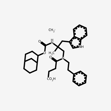 CC(Cc1c[nH]c2ccccc12)(CN(CCc1ccccc1)C(=O)CCC(=O)O)NC(=O)OC1CCC2CCCC1C2.[CH2]